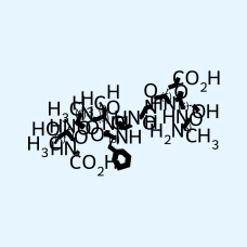 C[C@H](N)C(=O)N[C@@H](CO)C(=O)N[C@@H](CCC(=O)O)C(=O)NCC(=O)NCC(=O)N[C@@H](Cc1ccccc1)C(=O)N[C@H](C(=O)N[C@@H](C)C(=O)N[C@H](C(=O)NCC(=O)O)[C@@H](C)O)[C@@H](C)O